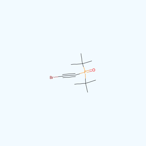 CC(C)(C)P(=O)(C#CBr)C(C)(C)C